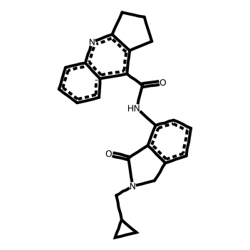 O=C(Nc1cccc2c1C(=O)N(CC1CC1)C2)c1c2c(nc3ccccc13)CCC2